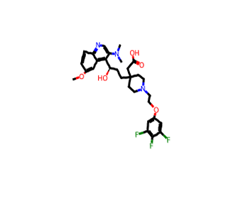 COc1ccc2ncc(N(C)C)c([C@H](O)CCC3(CC(=O)O)CCN(CCOc4cc(F)c(F)c(F)c4)CC3)c2c1